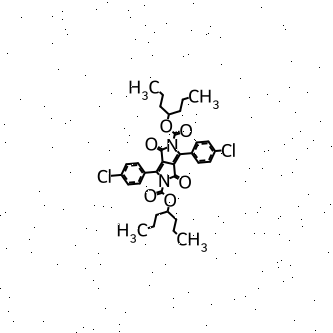 CCCC(CCC)OC(=O)N1C(=O)C2=C(c3ccc(Cl)cc3)N(C(=O)OC(CCC)CCC)C(=O)C2=C1c1ccc(Cl)cc1